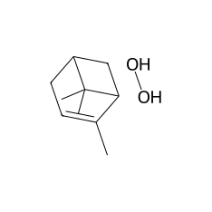 CC1=CCC2CC1C2(C)C.OO